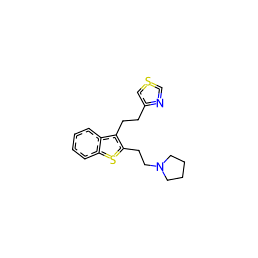 c1ccc2c(CCc3cscn3)c(CCN3CCCC3)sc2c1